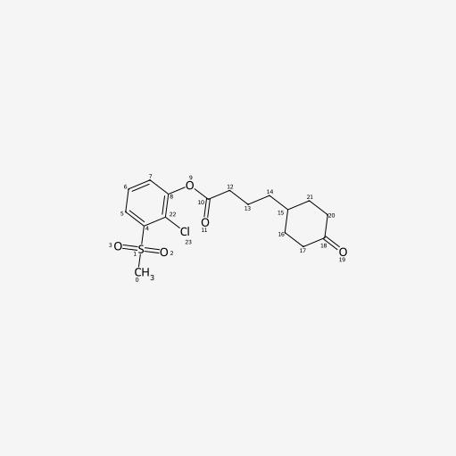 CS(=O)(=O)c1cccc(OC(=O)CCCC2CCC(=O)CC2)c1Cl